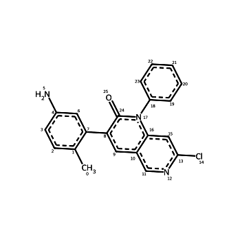 Cc1ccc(N)cc1-c1cc2cnc(Cl)cc2n(-c2ccccc2)c1=O